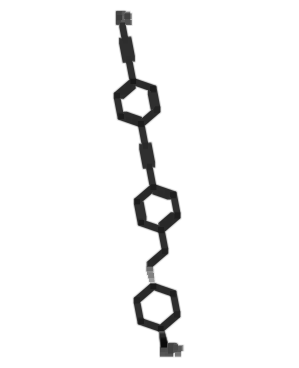 CCC#Cc1ccc(C#Cc2ccc(CC[C@H]3CC[C@H](CCC)CC3)cc2)cc1